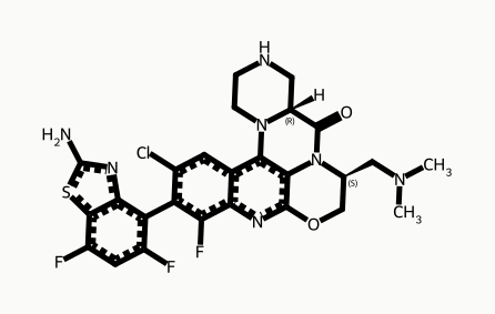 CN(C)C[C@H]1COc2nc3c(F)c(-c4c(F)cc(F)c5sc(N)nc45)c(Cl)cc3c3c2N1C(=O)[C@H]1CNCCN31